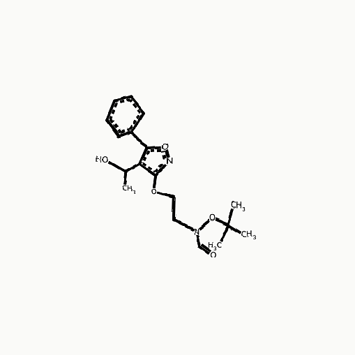 CC(O)c1c(OCCN(C=O)OC(C)(C)C)noc1-c1ccccc1